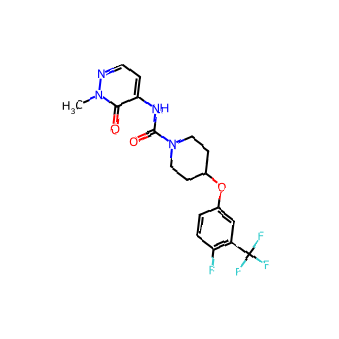 Cn1nccc(NC(=O)N2CCC(Oc3ccc(F)c(C(F)(F)F)c3)CC2)c1=O